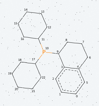 c1ccc2c(c1)CCCC2P(C1CCCCC1)C1CCCCC1